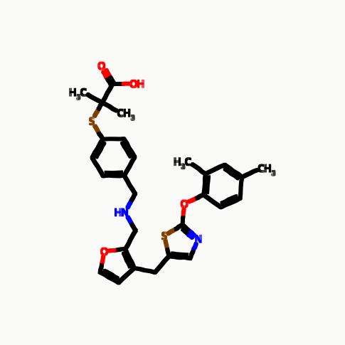 Cc1ccc(Oc2ncc(Cc3ccoc3CNCc3ccc(SC(C)(C)C(=O)O)cc3)s2)c(C)c1